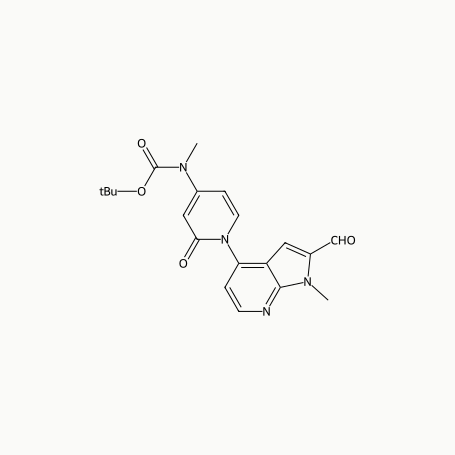 CN(C(=O)OC(C)(C)C)c1ccn(-c2ccnc3c2cc(C=O)n3C)c(=O)c1